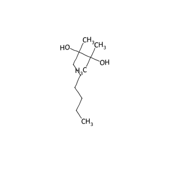 CCCCCCC(C)(O)C(C)(C)O